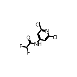 O=C(Nc1cc(Cl)nc(Cl)c1)C(F)F